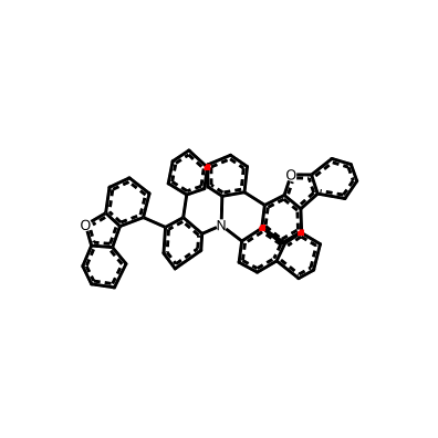 c1ccc(-c2c(-c3cccc4oc5ccccc5c34)cccc2N(c2ccc3ccccc3c2)c2ccccc2-c2cccc3c2oc2ccccc23)cc1